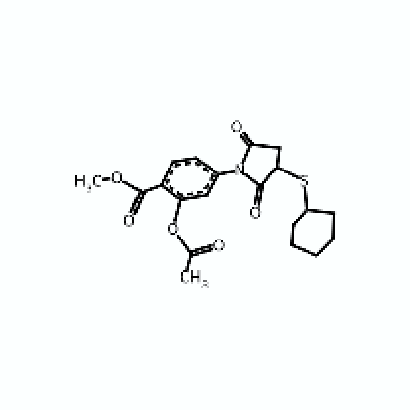 COC(=O)c1ccc(N2C(=O)CC(SC3CCCCC3)C2=O)cc1OC(C)=O